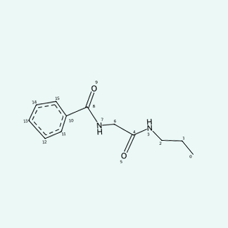 CCCNC(=O)CNC(=O)c1ccccc1